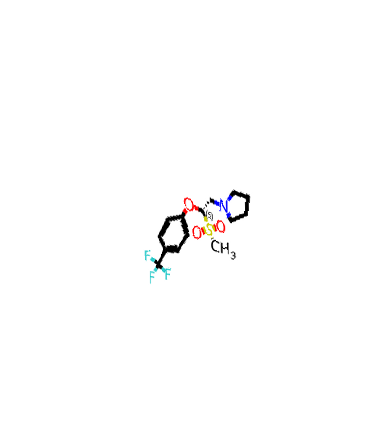 CS(=O)(=O)[C@@H](CN1CCCC1)Oc1ccc(C(F)(F)F)cc1